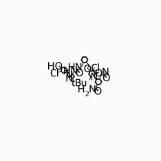 Cc1cc(OCc2ccccc2CNC(=O)Nc2cc(C(C)(C)C)nn2-c2ccc(O)c(Cl)c2)c(Cl)c(=O)n1-c1cc(C(N)=O)ccc1CC(=O)N(C)C